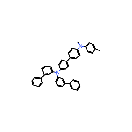 Cc1ccc(N(C)c2ccc(-c3ccc(N(c4cccc(-c5ccccc5)c4)c4cccc(-c5ccccc5)c4)cc3)cc2)cc1